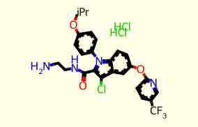 CC(C)Oc1ccc(-n2c(C(=O)NCCN)c(Cl)c3cc(Oc4ccc(C(F)(F)F)cn4)ccc32)cc1.Cl.Cl